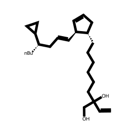 C=CC(O)(CO)CCCCCC[C@H]1CC=C[C@@H]1C=CC[C@H](CCCC)C1CC1